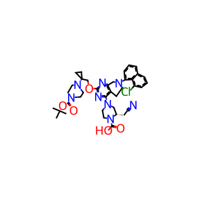 CC(C)(C)OC(=O)N1CCN(C2(COc3nc4c(c(N5CCN(C(=O)O)[C@@H](CC#N)C5)n3)CCN(c3cccc5cccc(Cl)c35)C4)CC2)CC1